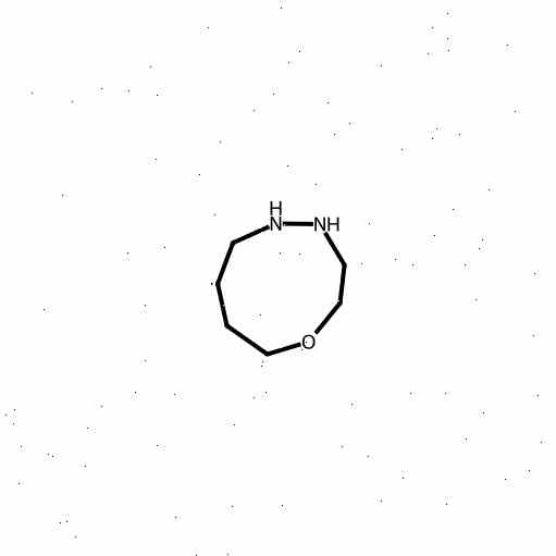 [CH]1CCOCCNNC1